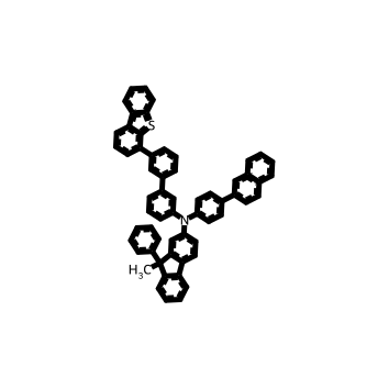 CC1(c2ccccc2)c2ccccc2-c2ccc(N(c3ccc(-c4ccc5ccccc5c4)cc3)c3cccc(-c4cccc(-c5cccc6c5sc5ccccc56)c4)c3)cc21